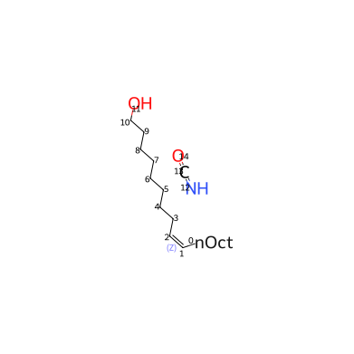 CCCCCCCC/C=C\CCCCCCCCO.N=C=O